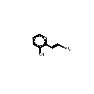 N#Cc1cccnc1C=CN